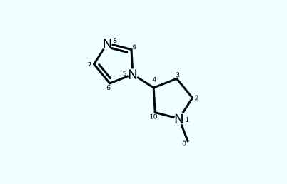 CN1CCC(n2ccnc2)C1